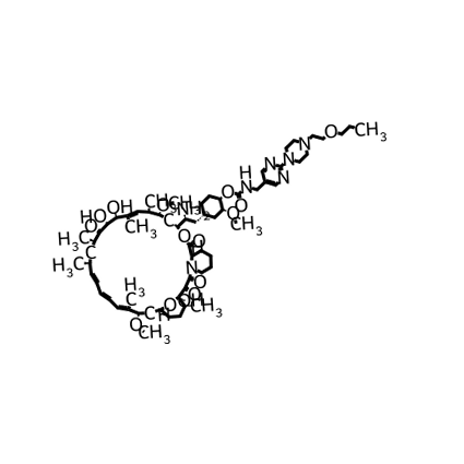 CCCOCCN1CCN(c2ncc(CNC(=O)O[C@@H]3CC[C@@H](C[C@@H](N)[C@@H]4C[C@@H](OC)[C@H](C)/C=C(\C)[C@@H](O)[C@@H](O)C(=O)[C@H](C)C[C@H](C)/C=C/C=C/C=C(\C)[C@@H](OC)C[C@@H]5CC[C@@H](C)[C@@](O)(O5)C(=O)C(=O)N5CCCC[C@H]5C(=O)O4)C[C@H]3OC)cn2)CC1